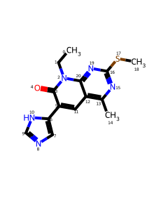 CCn1c(=O)c(-c2cnc[nH]2)cc2c(C)nc(SC)nc21